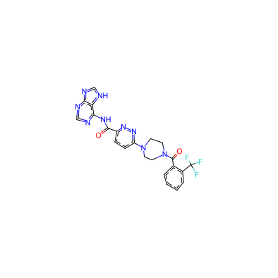 O=C(Nc1ncnc2nc[nH]c12)c1ccc(N2CCN(C(=O)c3ccccc3C(F)(F)F)CC2)nn1